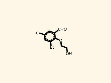 CCc1cc(Cl)cc(C=O)c1OCCO